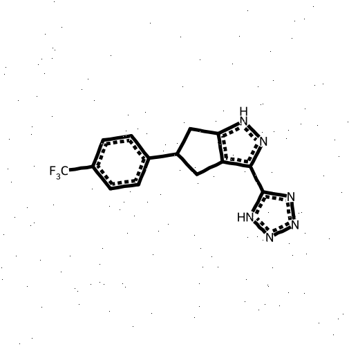 FC(F)(F)c1ccc(C2Cc3[nH]nc(-c4nnn[nH]4)c3C2)cc1